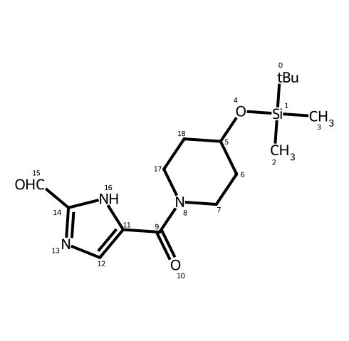 CC(C)(C)[Si](C)(C)OC1CCN(C(=O)c2cnc(C=O)[nH]2)CC1